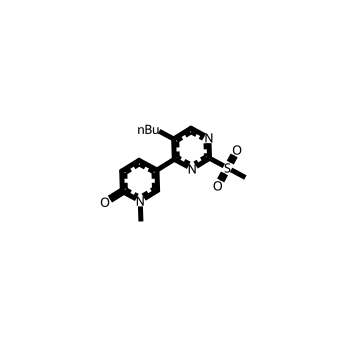 CCCCc1cnc(S(C)(=O)=O)nc1-c1ccc(=O)n(C)c1